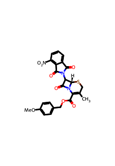 COc1ccc(COC(=O)C2=C(C)CS[C@H]3C(N4C(=O)c5cccc([N+](=O)[O-])c5C4=O)C(=O)N23)cc1